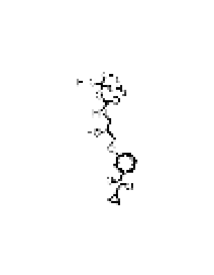 CC(C)(C)OC(=O)NCC(O)COc1cccc(S(=O)(=O)C2CC2)c1